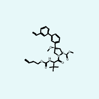 C=CCCOC(=O)NC(C(=O)N1C[C@](OC)(c2cccc(-c3cccc(C=C)c3)c2)C[C@H]1C(=O)OC)C(C)(C)C